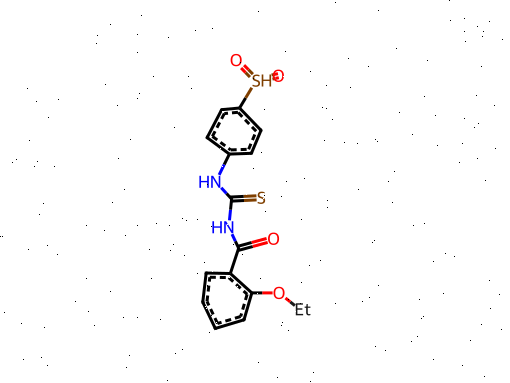 CCOc1ccccc1C(=O)NC(=S)Nc1ccc([SH](=O)=O)cc1